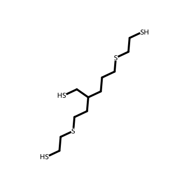 SCCSCCCC(CS)CCSCCS